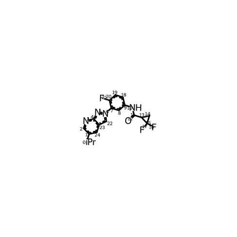 CC(C)c1cnc2nn(-c3cc(NC(=O)C4CC4(F)F)ccc3F)cc2c1